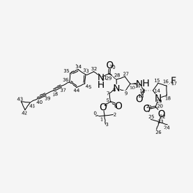 CC(C)(C)OC(=O)CN1C[C@H](NC(=O)[C@@H]2C[C@H](F)CN2C(=O)OC(C)(C)C)C[C@@H]1C(=O)NCc1ccc(C#CC#CC2CC2)cc1